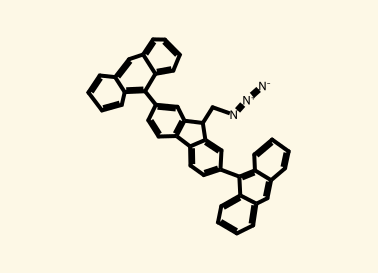 [N-]=[N+]=NCC1c2cc(-c3c4ccccc4cc4ccccc34)ccc2-c2ccc(-c3c4ccccc4cc4ccccc34)cc21